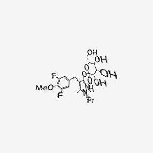 COc1c(F)cc(Cc2c(O[C@]3(O)O[C@H](CO)[C@@H](O)[C@H](O)[C@H]3O)nn(C(C)C)c2C)cc1F